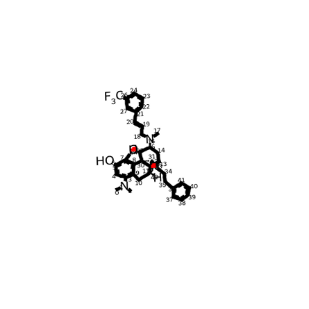 CN(C)c1cc(O)c2c3c1C[C@@H]1[C@@H]4CC[C@H](N(C)CC=Cc5cccc(C(F)(F)F)c5)[C@H](O2)[C@]34CCN1CCc1ccccc1